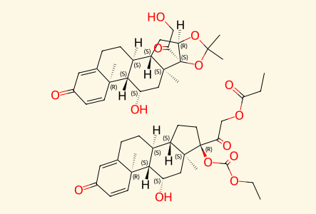 CC1(C)O[C@@H]2C[C@H]3[C@@H]4CCC5=CC(=O)C=C[C@]5(C)[C@H]4[C@@H](O)C[C@]3(C)[C@]2(C(=O)CO)O1.CCOC(=O)O[C@]1(C(=O)COC(=O)CC)CC[C@H]2[C@@H]3CCC4=CC(=O)C=C[C@]4(C)[C@H]3[C@@H](O)C[C@@]21C